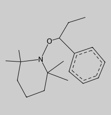 CCC(ON1C(C)(C)CCCC1(C)C)c1ccccc1